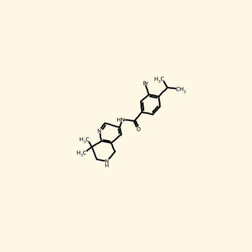 CC(C)c1ccc(C(=O)Nc2cnc3c(c2)CNCC3(C)C)cc1Br